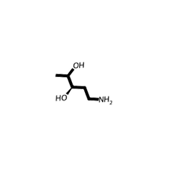 CC(O)[C@H](O)CCN